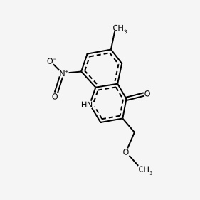 COCc1c[nH]c2c([N+](=O)[O-])cc(C)cc2c1=O